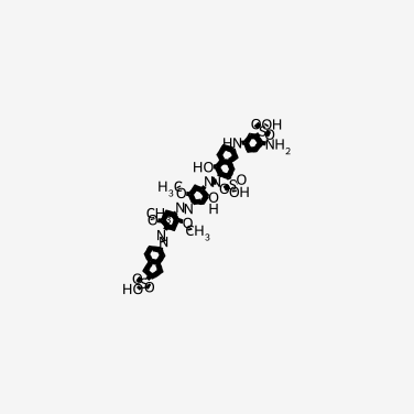 COc1cc(N=Nc2cc(O)c(N=Nc3c(S(=O)(=O)O)cc4cc(Nc5ccc(N)c(S(=O)(=O)O)c5)ccc4c3O)cc2OC)c(OC)cc1N=Nc1ccc2cc(S(=O)(=O)O)ccc2c1